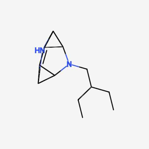 CCC(CC)CN1C2C3=C4C(NC32)C41